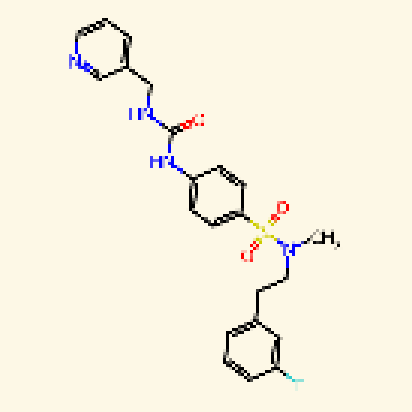 CN(CCc1cccc(F)c1)S(=O)(=O)c1ccc(NC(=O)NCc2cccnc2)cc1